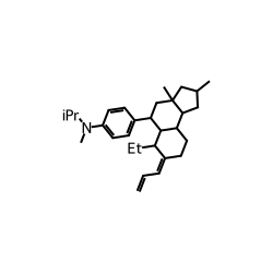 C=C/C=C1/CCC2C(C1CC)C(c1ccc(N(C)C(C)C)cc1)CC1(C)CC(C)CC21